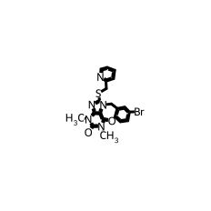 Cn1c(=O)c2c(nc(SCc3ccccn3)n2Cc2cccc(Br)c2)n(C)c1=O